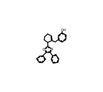 Oc1cccc(CC2=CCCCC2c2nc(-c3ccccc3)c(-c3ccccc3)o2)c1